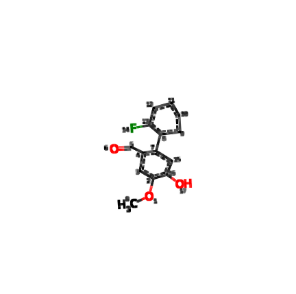 COc1cc(C=O)c(-c2ccccc2F)cc1O